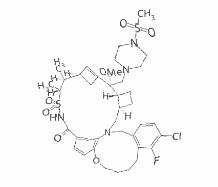 CO[C@@]1(CN2CCN(S(C)(=O)=O)CC2)C2=C[C@@H](C2)[C@H](C)[C@@H](C)S(=O)(=O)NC(=O)c2ccc3c(c2)N(Cc2ccc(Cl)c(F)c2CCCCO3)C[C@@H]2CC[C@H]21